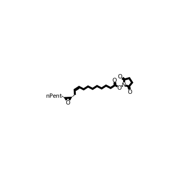 CCCCC[C@H]1O[C@H]1C/C=C\CCCCCCCC(=O)ON1C(=O)CCC1=O